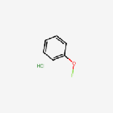 Cl.FOc1ccccc1